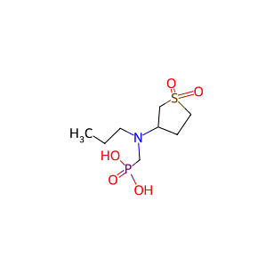 CCCN(CP(=O)(O)O)C1CCS(=O)(=O)C1